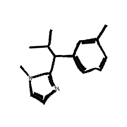 Cc1cccc(C(c2nccn2C)C(C)C)c1